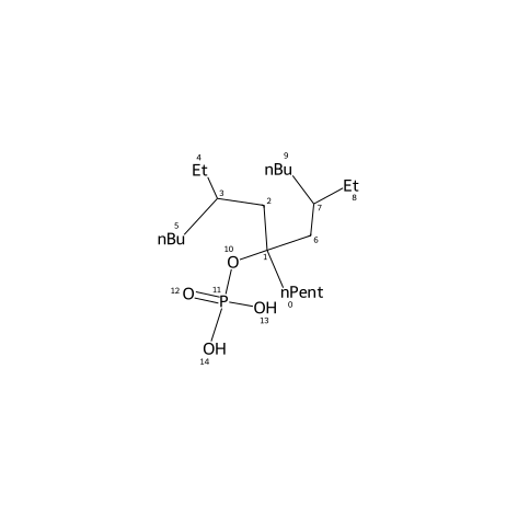 CCCCCC(CC(CC)CCCC)(CC(CC)CCCC)OP(=O)(O)O